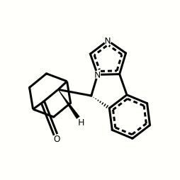 O=C1C2CCC(CC2)[C@@H]1[C@H]1c2ccccc2-c2cncn21